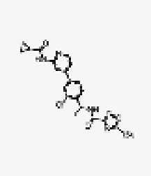 CC(NC(=O)c1noc(C(C)(C)C)n1)c1ccc(-c2ccnc(NC(=O)C3CC3)c2)cc1Cl